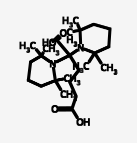 CC1(C)CCCC(C)(C)N1C(CCCC(=O)O)(C(=O)O)N1C(C)(C)CCCC1(C)C